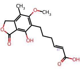 COc1c(C)c2c(c(O)c1CCC/C=C/C(=O)O)C(=O)OC2